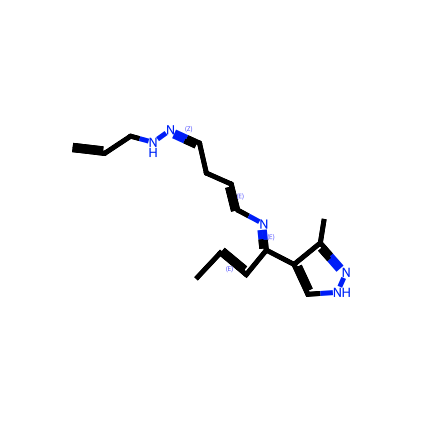 C=CCN/N=C\C/C=C/N=C(\C=C\C)c1c[nH]nc1C